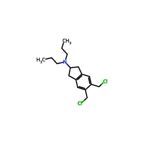 CCCN(CCC)C1Cc2cc(CCl)c(CCl)cc2C1